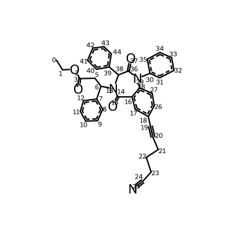 CCOC(=O)CC(c1ccccc1)N1C(=O)c2cc(C#CCCCC#N)ccc2N(c2ccccc2)C(=O)C1c1ccccc1